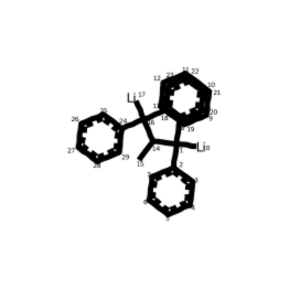 [Li][C](c1ccccc1)(c1ccccc1)C(C)[C]([Li])(c1ccccc1)c1ccccc1